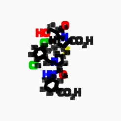 C[C@@H](O)[C@H]1C(=O)N2C(C(=O)O)=C(S[C@H]3C[C@@H](C(=O)Nc4cccc(C(=O)O)c4)N(Cc4cc(Cl)ccc4Cl)C3)[C@H](C)[C@H]12